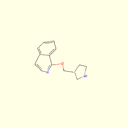 [c]1ccc2c(OCC3CCNC3)nccc2c1